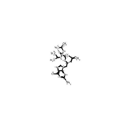 CC(C)C[C@@H](Cn1cnc2c(Cl)nc(N)nc21)OCP(=O)(OC(C)C)OC(C)C